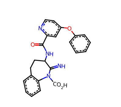 N=C1C(NC(=O)c2cc(Oc3ccccc3)ccn2)CCc2ccccc2N1C(=O)O